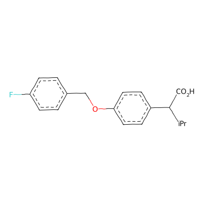 CC(C)C(C(=O)O)c1ccc(OCc2ccc(F)cc2)cc1